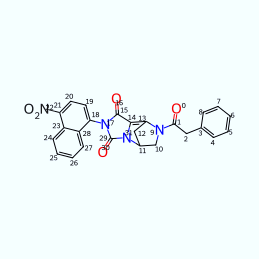 O=C(Cc1ccccc1)N1CC2CC1=C1C(=O)N(c3ccc([N+](=O)[O-])c4ccccc34)C(=O)N12